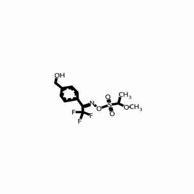 COC(C)S(=O)(=O)ON=C(c1ccc(CO)cc1)C(F)(F)F